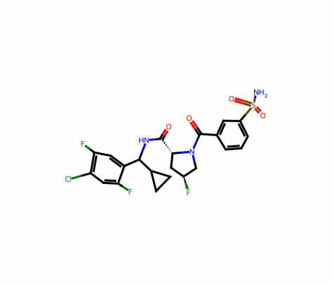 NS(=O)(=O)c1cccc(C(=O)N2C[C@@H](F)C[C@@H]2C(=O)NC(c2cc(F)c(Cl)cc2F)C2CC2)c1